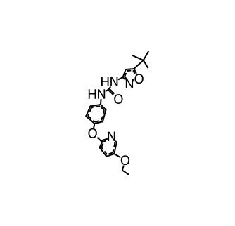 CCOc1ccc(Oc2ccc(NC(=O)Nc3cc(C(C)(C)C)on3)cc2)nc1